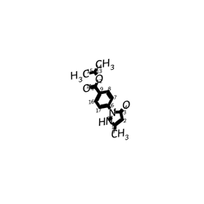 Cc1cc(=O)n(-c2ccc(C(=O)OC(C)C)cc2)[nH]1